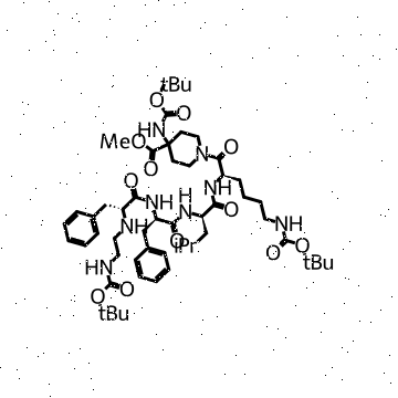 COC(=O)C1(NC(=O)OC(C)(C)C)CCN(C(=O)[C@@H](CCCCNC(=O)OC(C)(C)C)NC(=O)[C@@H](CC(C)C)NC(=O)[C@@H](Cc2ccccc2)NC(=O)[C@@H](Cc2ccccc2)NCCNC(=O)OC(C)(C)C)CC1